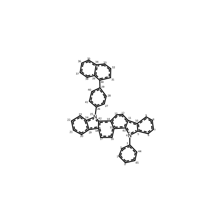 c1ccc(-n2c3ccccc3c3ccc4c(ccc5c6ccccc6n(-c6ccc(-c7cccc8ccccc78)cc6)c54)c32)cc1